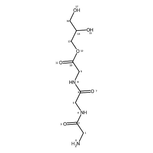 NCC(=O)NCC(=O)NCC(=O)OCC(O)CO